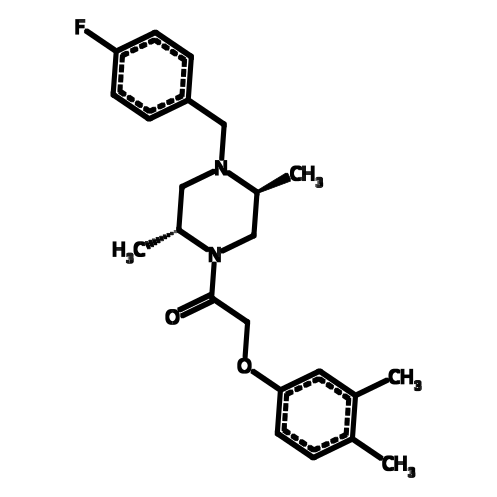 Cc1ccc(OCC(=O)N2C[C@H](C)N(Cc3ccc(F)cc3)C[C@H]2C)cc1C